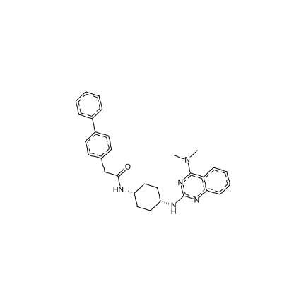 CN(C)c1nc(N[C@H]2CC[C@@H](NC(=O)Cc3ccc(-c4ccccc4)cc3)CC2)nc2ccccc12